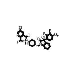 COc1ccc(C2(O)C(=O)N(C[C@H]3CC[C@H](NC(=O)c4cc(Cl)cnc4C(F)F)CC3)c3ccccc32)c(F)c1F